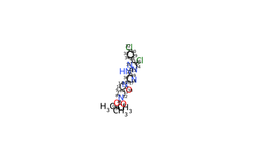 CC(C)(C)OC(=O)N1CCC2(CC1)CCN(c1cncc(Nc3ncc(Cl)c(-c4ccc(Cl)cc4)n3)c1)C2=O